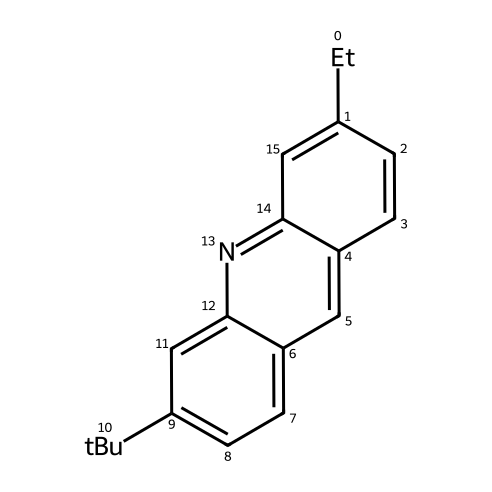 CCc1ccc2cc3ccc(C(C)(C)C)cc3nc2c1